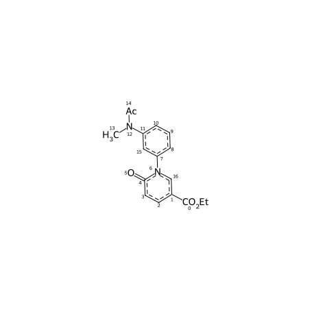 CCOC(=O)c1ccc(=O)n(-c2cccc(N(C)C(C)=O)c2)c1